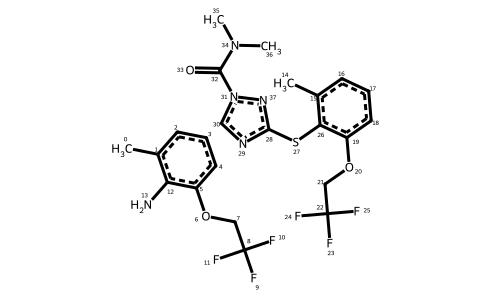 Cc1cccc(OCC(F)(F)F)c1N.Cc1cccc(OCC(F)(F)F)c1Sc1ncn(C(=O)N(C)C)n1